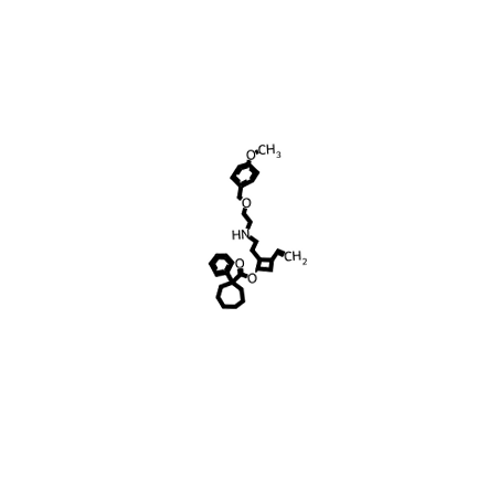 C=CC1C[C@H](OC(=O)C2(c3ccccc3)CCCCCC2)C1CCNCCOCc1ccc(OC)cc1